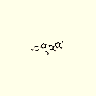 C=CC(=O)Nc1cc(N2CCN(CC)CC2)ccc1Nc1cc(-c2ccc(OC)c(C(N)=O)c2F)c(C#N)cn1